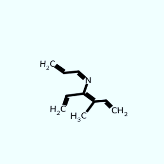 C=C/C=N\C(C=C)=C(\C)C=C